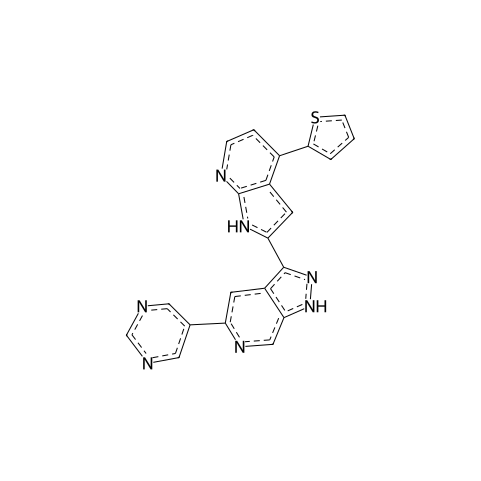 c1csc(-c2ccnc3[nH]c(-c4n[nH]c5cnc(-c6cncnc6)cc45)cc23)c1